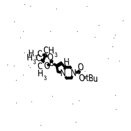 CC(C)(C)OC(=O)N1CCN2CC(B3OC(C)(C)C(C)(C)O3)=C[C@H]2C1